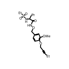 CCC#CCOc1ccc(CONC(=O)C(NS(=O)(=O)CC)C(C)C)cc1OC